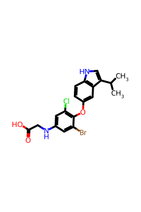 CC(C)c1c[nH]c2ccc(Oc3c(Cl)cc(NCC(=O)O)cc3Br)cc12